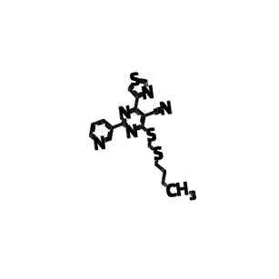 CCCCSCSc1nc(-c2cccnc2)nc(-c2cscn2)c1C#N